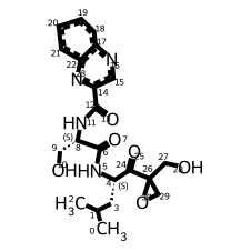 CC(C)C[C@H](NC(=O)[C@H](CO)NC(=O)c1cnc2ccccc2n1)C(=O)C1(CO)CO1